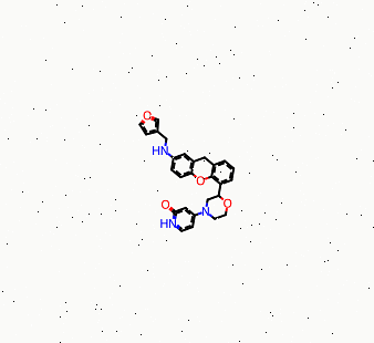 O=c1cc(N2CCOC(c3cccc4c3Oc3ccc(NCc5ccoc5)cc3C4)C2)cc[nH]1